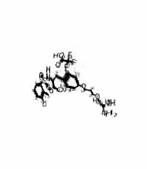 Cc1c(Cl)cccc1S(=O)(=O)N[C@@H](Cc1ccc(OCCCONC(=N)N)cc1)C(=O)O.O=C(O)C(F)(F)F